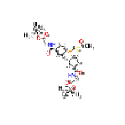 CC(=O)SCP(c1ccc(C(=O)NCC(=O)OC(C)(C)C)cc1)c1ccc(C(=O)NCC(=O)OC(C)(C)C)cc1